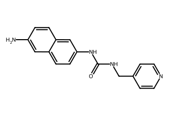 Nc1ccc2cc(NC(=O)NCc3ccncc3)ccc2c1